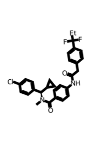 CCC(F)(F)c1ccc(CC(=O)Nc2ccc(C(=O)N(C)[C@@H](c3ccc(Cl)cc3)C3CC3)cc2)cc1